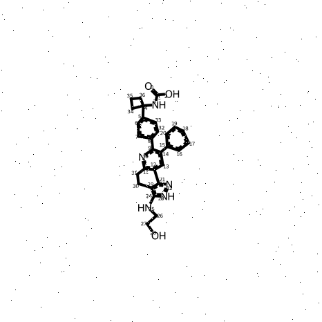 O=C(O)NC1(c2ccc(-c3nc4c(cc3-c3ccccc3)-c3n[nH]c(NCCO)c3CC4)cc2)CCC1